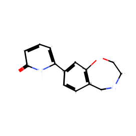 O=c1cccc(-c2ccc3c(c2)OCCNC3)[nH]1